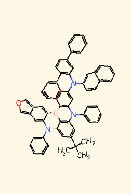 CC(C)(C)c1cc2c3c(c1)N(c1ccccc1)c1cc4cocc4cc1B3c1ccc(N(c3ccc4ccccc4c3)c3cc(-c4ccccc4)ccc3-c3ccccc3)cc1N2c1ccccc1